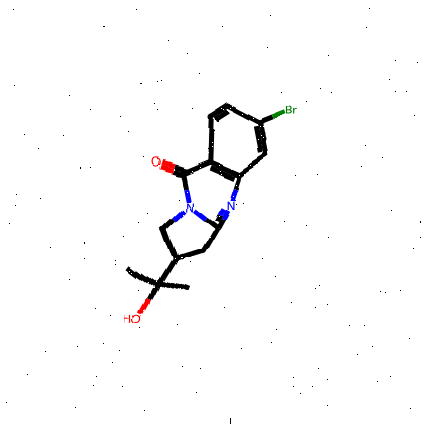 CC(C)(O)C1Cc2nc3cc(Br)ccc3c(=O)n2C1